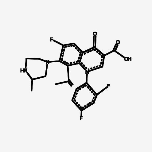 C=C(C)c1c(N2CCNC(C)C2)c(F)cc2c(=O)c(C(=O)O)cn(-c3ccc(F)cc3F)c12